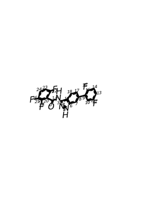 O=C(Nc1n[nH]c2cc(-c3cc(F)ccc3F)ccc12)c1c(F)ccc(F)c1F